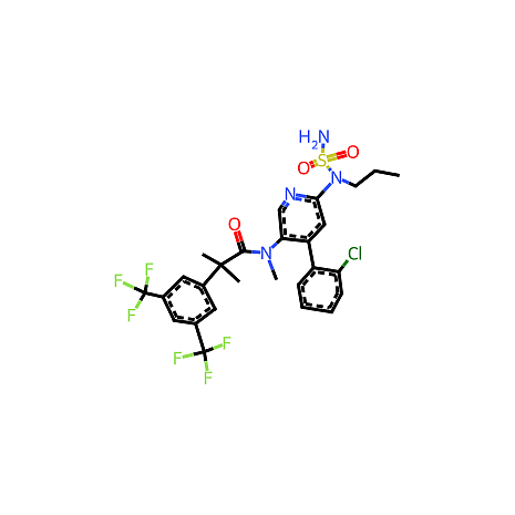 CCCN(c1cc(-c2ccccc2Cl)c(N(C)C(=O)C(C)(C)c2cc(C(F)(F)F)cc(C(F)(F)F)c2)cn1)S(N)(=O)=O